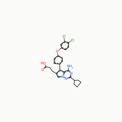 Nc1nc(C2CCCC2)nn2cc(CCC(=O)O)c(-c3ccc(Oc4ccc(Cl)c(Cl)c4)cc3)c12